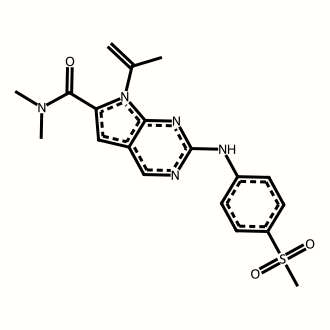 C=C(C)n1c(C(=O)N(C)C)cc2cnc(Nc3ccc(S(C)(=O)=O)cc3)nc21